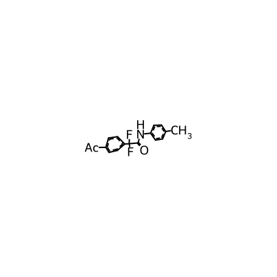 CC(=O)c1ccc(C(F)(F)C(=O)Nc2ccc(C)cc2)cc1